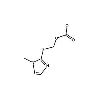 Cn1ccnc1SCOC([O])=O